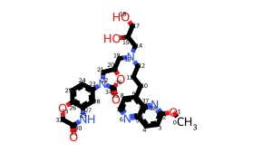 COc1ccc2nccc(CCCN(CC(O)CO)CC3CN(c4ccc5c(c4)NC(=O)CO5)C(=O)O3)c2n1